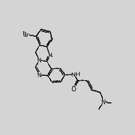 CN(C)CC=CC(=O)Nc1ccc2c(c1)C1=Nc3cccc(Br)c3CN1C=N2